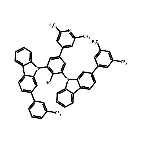 Cc1cc(-c2cc(-n3c4ccccc4c4ccc(-c5cccc(C(F)(F)F)c5)cc43)c(C#N)c(-n3c4ccccc4c4ccc(-c5cc(C(F)(F)F)cc(C(F)(F)F)c5)cc43)c2)cc(C)n1